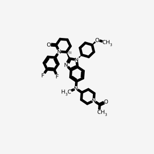 CO[C@H]1CC[C@H](n2c([C@@H]3CCCC(=O)N3c3ccc(F)c(F)c3)nc3cc(N(C)C4CCN(C(C)=O)CC4)ccc32)CC1